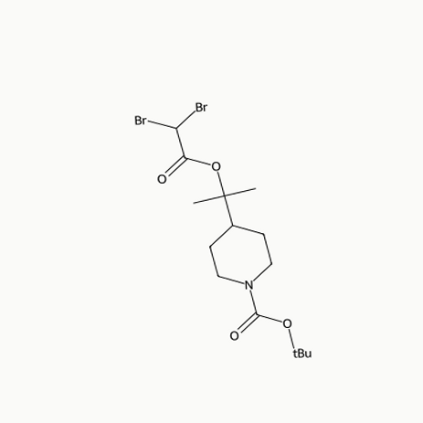 CC(C)(C)OC(=O)N1CCC(C(C)(C)OC(=O)C(Br)Br)CC1